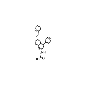 O=C(O)CNc1cc(-c2ccncc2)c2cc(CCc3ccccn3)ccc2n1